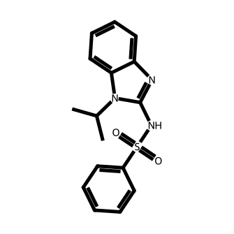 CC(C)n1c(NS(=O)(=O)c2ccccc2)nc2ccccc21